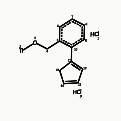 Cl.Cl.[Ti][O]Cc1ccccc1C1=CC=CC1